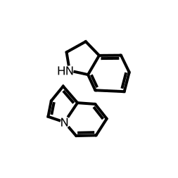 c1ccc2c(c1)CCN2.c1ccn2cccc2c1